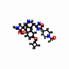 CC(=O)N1CCC(c2nc(-c3cncc([C@@](O)(c4ccc(OC5CCC5)cc4)C4(C)CN(C)C4)c3)no2)CC1